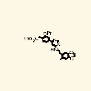 CCCc1cc(-c2cc(NCCc3cc4c(cc3C)OCCO4)ncn2)ccc1CC(=O)O